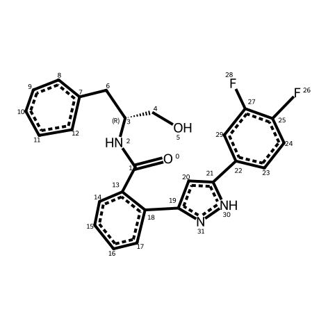 O=C(N[C@@H](CO)Cc1ccccc1)c1ccccc1-c1cc(-c2ccc(F)c(F)c2)[nH]n1